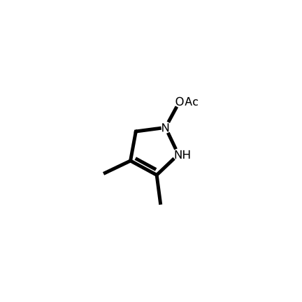 CC(=O)ON1CC(C)=C(C)N1